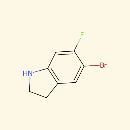 Fc1cc2c(cc1Br)CCN2